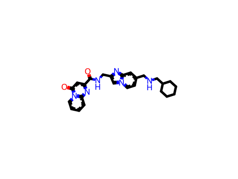 O=C(NCc1cn2ccc(CNCC3CCCCC3)cc2n1)c1cc(=O)n2ccccc2n1